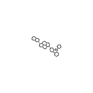 c1ccc(-n2c3ccccc3c3ccc(-c4ccc5ccc6c(-c7ccc8ccccc8c7)ccc7ccc4c5c76)cc32)cc1